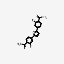 NC(=O)c1ccc(-c2ccc(-c3ccc(C(N)=O)c(F)c3)o2)cc1F